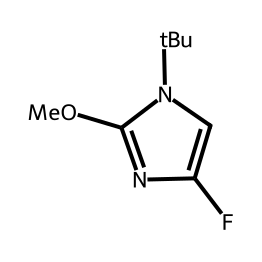 COc1nc(F)cn1C(C)(C)C